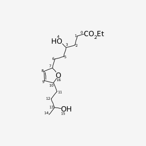 CCOC(=O)CCC(O)CCC1C=CC(CCC(C)O)O1